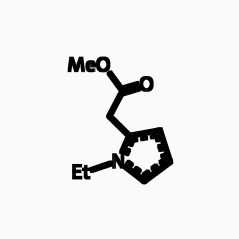 CCn1cccc1CC(=O)OC